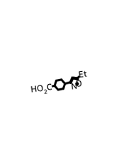 CCc1cc(C2CCC(C(=O)O)CC2)no1